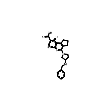 O=C(O)c1c[nH]c2nc(N3CCC(NCc4ccccc4)C3)c3c(c2c1=O)CCC3